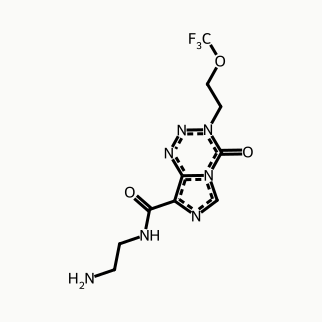 NCCNC(=O)c1ncn2c(=O)n(CCOC(F)(F)F)nnc12